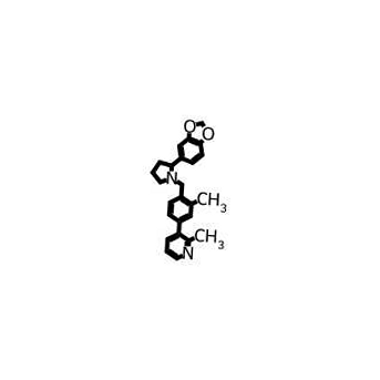 Cc1cc(-c2cccnc2C)ccc1CN1CCCC1c1ccc2c(c1)OCO2